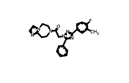 Cc1cc(-c2nc(-c3ccccc3)n(CC(=O)N3CCc4nccn4CC3)n2)ccc1F